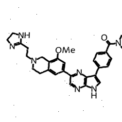 COc1cc(-c2cnc3[nH]cc(-c4ccc(C(=O)N(C)C)cc4)c3n2)cc2c1CN(CCC1=NCCN1)CC2